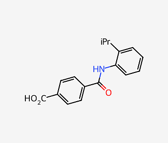 CC(C)c1ccccc1NC(=O)c1ccc(C(=O)O)cc1